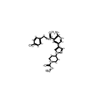 CC(C)(C)OC(=O)N1CCC(n2cc(-c3cnc(N)c(C(=O)NCc4ccc(Cl)cc4)c3)cn2)CC1